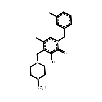 Cc1cccc(Cn2cc(I)c(CN3CCN(C(=O)O)CC3)c(O)c2=O)c1